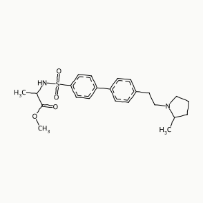 COC(=O)C(C)NS(=O)(=O)c1ccc(-c2ccc(CCN3CCCC3C)cc2)cc1